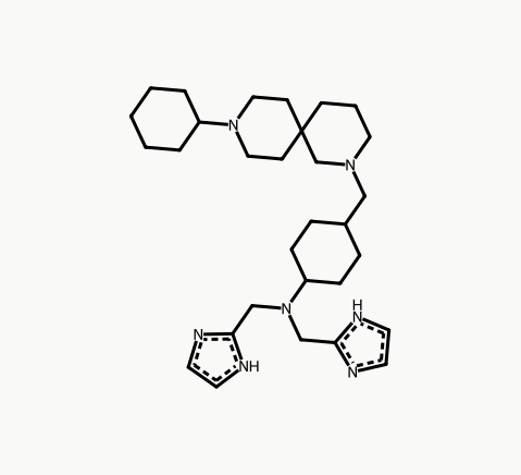 c1c[nH]c(CN(Cc2ncc[nH]2)C2CCC(CN3CCCC4(CCN(C5CCCCC5)CC4)C3)CC2)n1